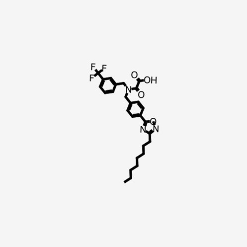 CCCCCCCCc1noc(-c2ccc(CN(Cc3cccc(C(F)(F)F)c3)C(=O)C(=O)O)cc2)n1